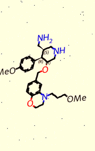 COCCCN1CCOc2ccc(CO[C@H]3CNC[C@H](CN)[C@@H]3c3ccc(OC)cc3)cc21